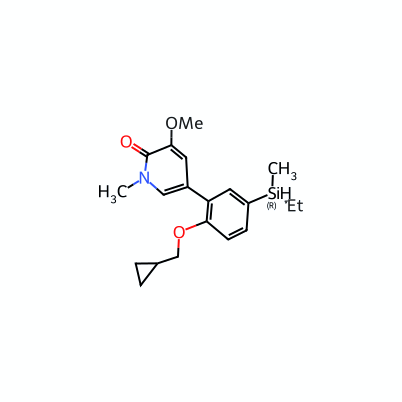 CC[Si@@H](C)c1ccc(OCC2CC2)c(-c2cc(OC)c(=O)n(C)c2)c1